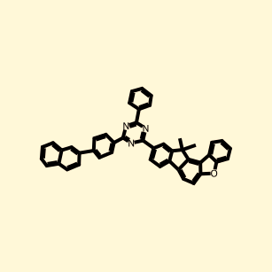 CC1(C)c2cc(-c3nc(-c4ccccc4)nc(-c4ccc(-c5ccc6ccccc6c5)cc4)n3)ccc2-c2ccc3oc4ccccc4c3c21